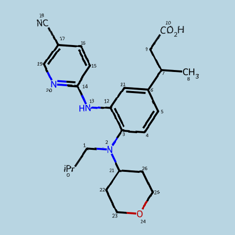 CC(C)CN(c1ccc(C(C)CC(=O)O)cc1Nc1ccc(C#N)cn1)C1CCOCC1